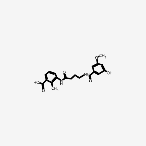 COc1cc(O)cc(C(=O)NCCCC(=O)Nc2cccc(C(=O)O)c2C)c1